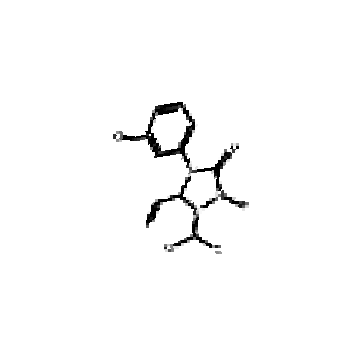 O=C1N(c2cccc(Cl)c2)C(C=S)N(C(Cl)Cl)N1F